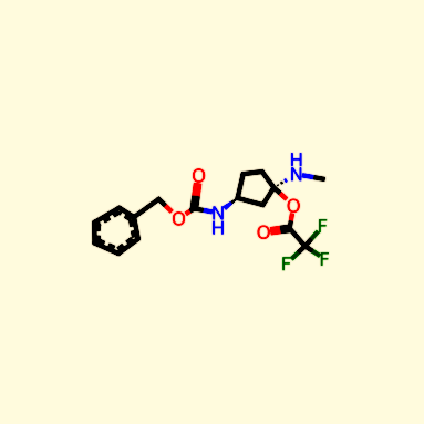 CN[C@@]1(OC(=O)C(F)(F)F)CC[C@H](NC(=O)OCc2ccccc2)C1